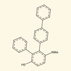 CNc1ccc(S)c(-c2ccccc2)c1-c1ccc(-c2ccccc2)cc1